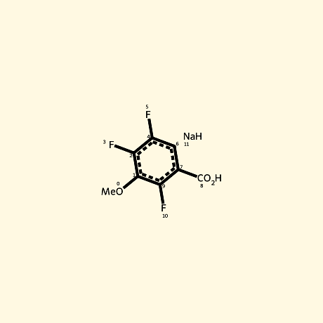 COc1c(F)c(F)cc(C(=O)O)c1F.[NaH]